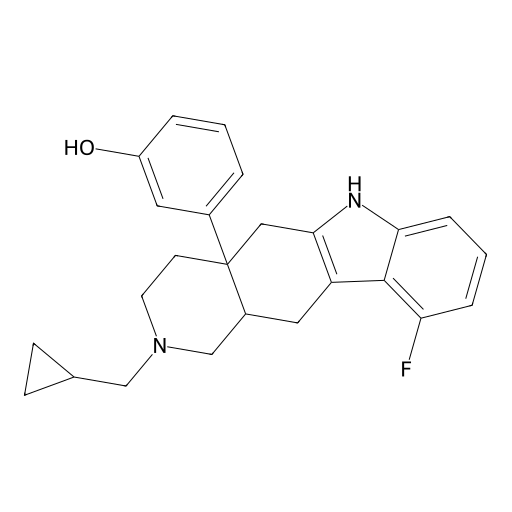 Oc1cccc(C23CCN(CC4CC4)CC2Cc2c([nH]c4cccc(F)c24)C3)c1